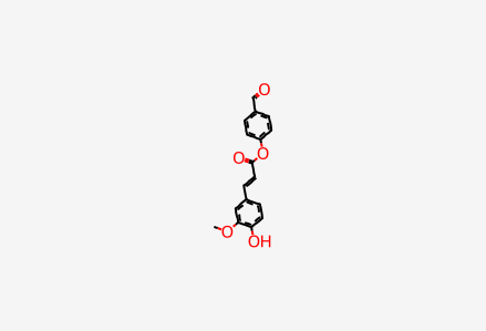 COc1cc(C=CC(=O)Oc2ccc(C=O)cc2)ccc1O